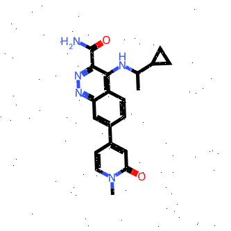 CC(Nc1c(C(N)=O)nnc2cc(-c3ccn(C)c(=O)c3)ccc12)C1CC1